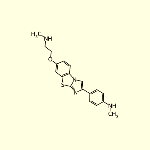 CNCCOc1ccc2c(c1)sc1nc(-c3ccc(NC)cc3)cn12